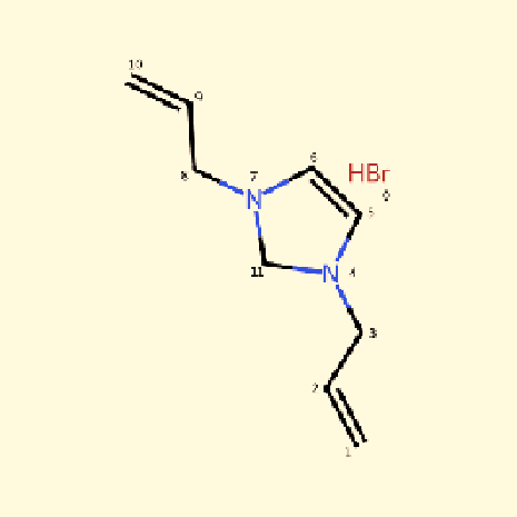 Br.C=CCN1C=CN(CC=C)C1